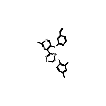 C=Cc1cccc(Oc2cnc(C)nc2C2=NOC[C@@H](Cc3ccc(C)cc3C)N2)c1